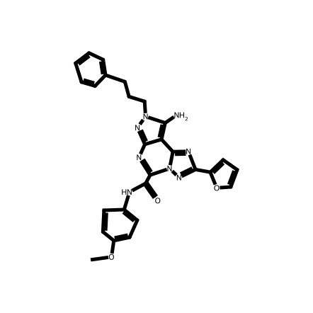 COc1ccc(NC(=O)c2nc3nn(CCCc4ccccc4)c(N)c3c3nc(-c4ccco4)nn23)cc1